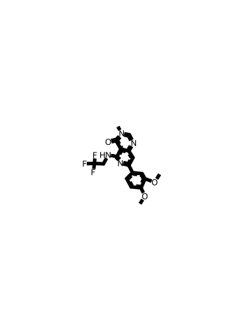 COc1ccc(-c2cc3ncn(C)c(=O)c3c(NCC(F)(F)F)n2)cc1OC